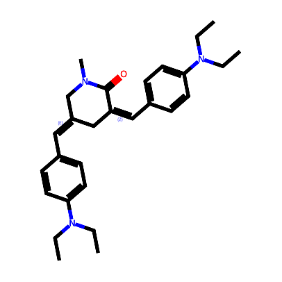 CCN(CC)c1ccc(/C=C2/C/C(=C\c3ccc(N(CC)CC)cc3)CN(C)C2=O)cc1